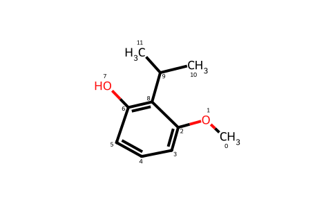 COc1cccc(O)c1C(C)C